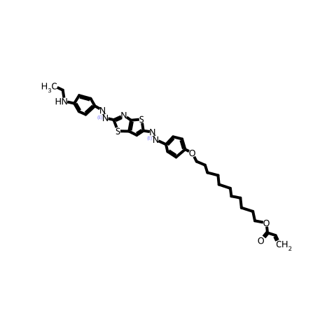 C=CC(=O)OCCCCCCCCCCCOc1ccc(/N=N/c2cc3sc(/N=N/c4ccc(NCC)cc4)nc3s2)cc1